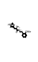 COc1ccccc1CCNC(=O)[C@H](N)Cc1c[nH]cn1